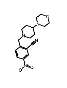 N#Cc1cc([N+](=O)[O-])ccc1CN1CCC(N2CCOCC2)CC1